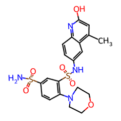 Cc1cc(O)nc2ccc(NS(=O)(=O)c3cc(S(N)(=O)=O)ccc3N3CCOCC3)cc12